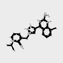 Cc1cccc2c(-c3cn(Cc4cccn(C(C)C)c4=O)nn3)nc(N)nc12